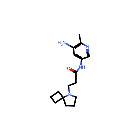 Cc1ncc(NC(=O)CCN2CCCC23CCC3)cc1N